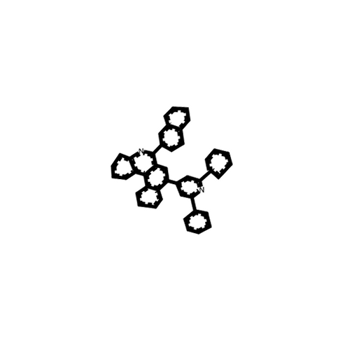 c1ccc(-c2cc(-c3cc4c(-c5ccc6ccccc6c5)nc5ccccc5c4c4ccccc34)cc(-c3ccccc3)n2)cc1